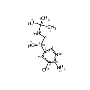 CC(C)(C)NC[C@H](O)c1cnc(N)c(Cl)c1